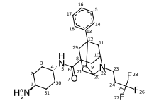 N[C@H]1CC[C@H](NC(=O)C23CC4CC(c5ccccc5)(CC(C2)N4CCC(F)(F)F)C3)CC1